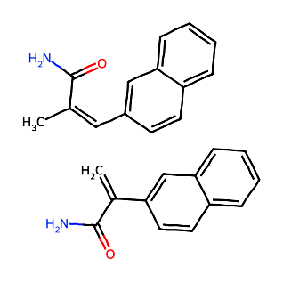 C=C(C(N)=O)c1ccc2ccccc2c1.CC(=Cc1ccc2ccccc2c1)C(N)=O